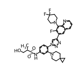 C[C@H](CO)S(=O)(=O)Nc1ccc(-n2cc(-c3cc4cccnc4c(N4CCC(F)(F)CC4)c3F)nn2)c(N2CCC3(CC2)CC3)c1